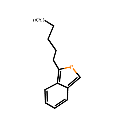 CCCCCCCCCCCCC1=c2ccccc2=C[P]1